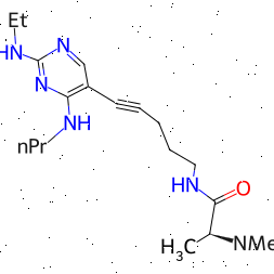 CCCNc1nc(NCC)ncc1C#CCCCNC(=O)[C@H](C)NC